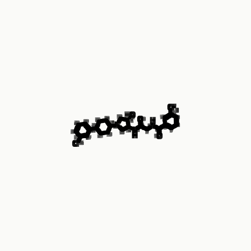 O=C(CNC(=O)c1cccc(C(F)(F)F)c1)N[C@H]1CN(C2CCC(c3cccc(Cl)c3)CC2)C[C@@H]1O